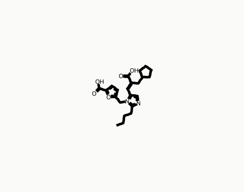 CCCCc1ncc(/C=C(\CC2CCCC2)C(=O)O)n1Cc1ccc(C(=O)O)o1